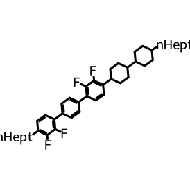 CCCCCCCc1ccc(-c2ccc(-c3ccc(C4CCC(C5CCC(CCCCCCC)CC5)CC4)c(F)c3F)cc2)c(F)c1F